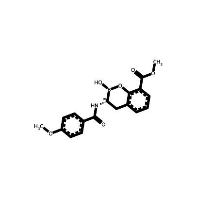 COC(=O)c1cccc2c1OB(O)[C@@H](NC(=O)c1ccc(OC)cc1)C2